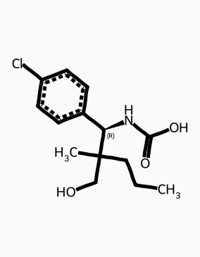 CCCC(C)(CO)[C@H](NC(=O)O)c1ccc(Cl)cc1